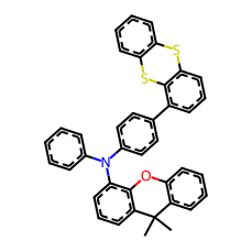 CC1(C)c2ccccc2Oc2c(N(c3ccccc3)c3ccc(-c4cccc5c4Sc4ccccc4S5)cc3)cccc21